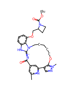 Cc1cc2cc(n1)-c1cnn(C)c1OCCCCCN1/C(=N/C2=O)Nc2cccc(OCC3CCN3C(=O)OC(C)(C)C)c21